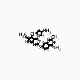 CCc1[nH]c2nc(Sc3ccc4c(N)nc(C)nc4c3)nc(N3CCC(N)C3)c2c1Cl